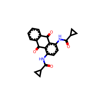 O=C1c2ccccc2C(=O)c2c(NC(=O)C3CC3)ccc(NC(=O)C3CC3)c21